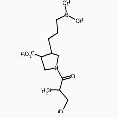 CC(C)CC(N)C(=O)N1CC(CCCB(O)O)C(C(=O)O)C1